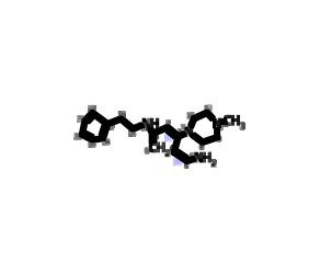 C=C(/C=C(\C=C/N)N1CCN(C)CC1)NCCc1ccccc1